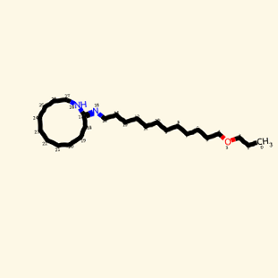 CCCOCCCCCCCCCCCCN=C1CCCCCCCCCCN1